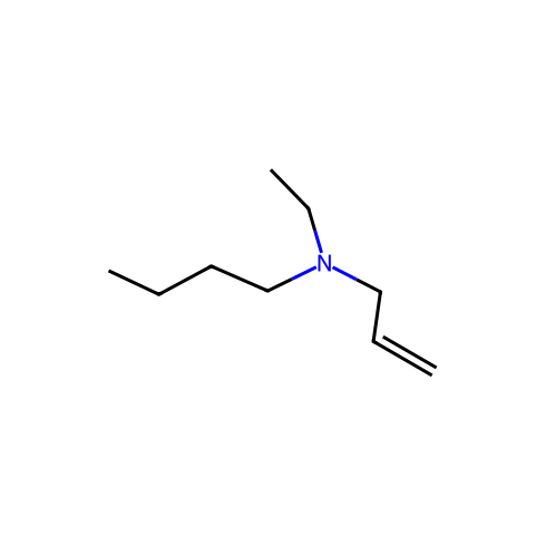 C=CCN(CC)CCCC